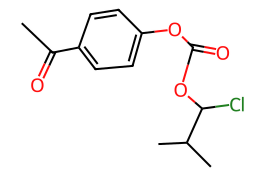 CC(=O)c1ccc(OC(=O)OC(Cl)C(C)C)cc1